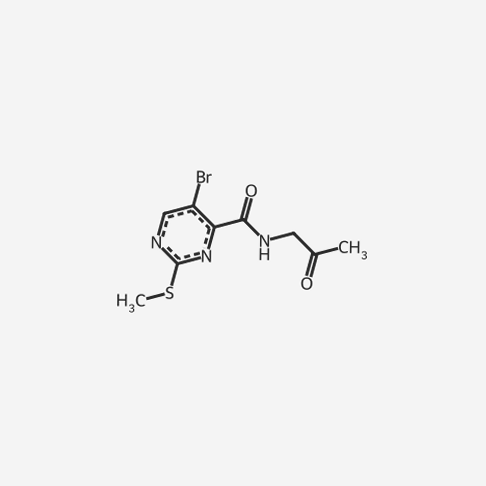 CSc1ncc(Br)c(C(=O)NCC(C)=O)n1